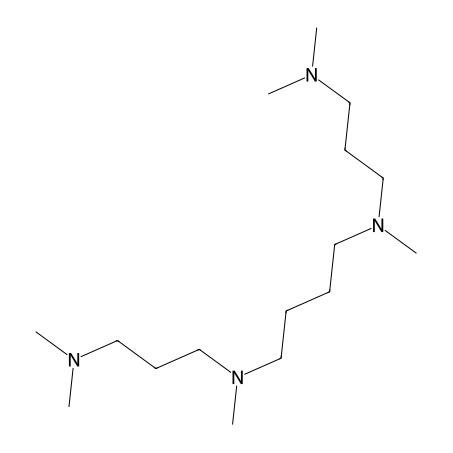 CN(C)CCCN(C)CCCCN(C)CCCN(C)C